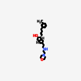 Cc1cccc(CC/C=C/[C@@H]2[C@H]3CC(CCNCCN4CCOCC4)=C[C@H]3C[C@H]2O)c1